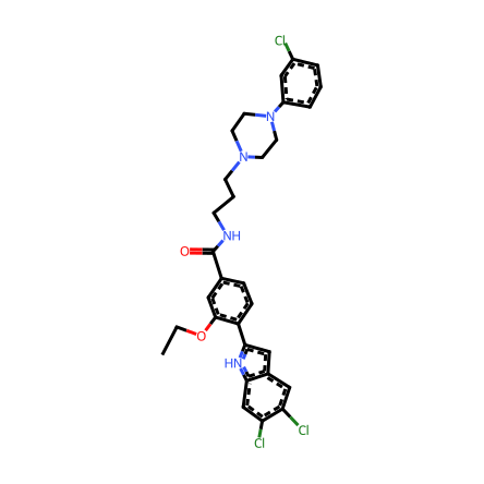 CCOc1cc(C(=O)NCCCN2CCN(c3cccc(Cl)c3)CC2)ccc1-c1cc2cc(Cl)c(Cl)cc2[nH]1